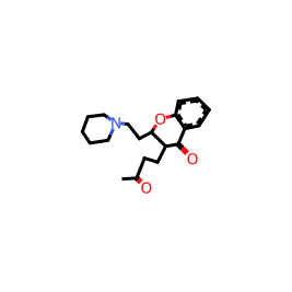 CC(=O)CCC1C(=O)c2ccccc2OC1CCN1CCCCC1